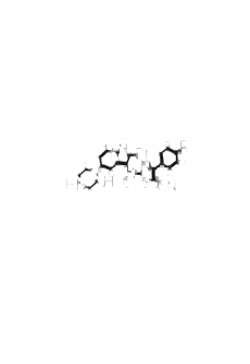 CCc1nn2ccc(N3CCNCC3)cc2c1N(C)c1nc(-c2ccc(F)cc2)c(C#N)s1